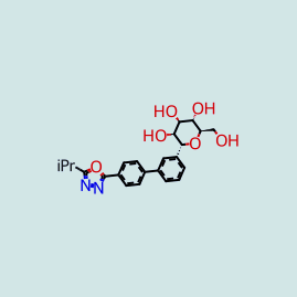 CC(C)c1nnc(-c2ccc(-c3cccc([C@H]4O[C@H](CO)[C@@H](O)[C@H](O)[C@@H]4O)c3)cc2)o1